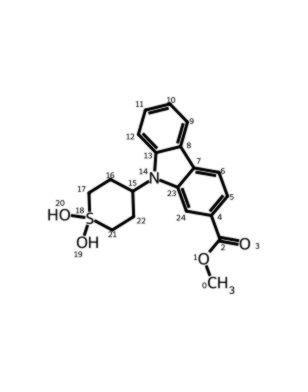 COC(=O)c1ccc2c3ccccc3n(C3CCS(O)(O)CC3)c2c1